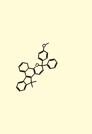 COc1ccc(C2(c3ccccc3)C=CC3=C(O2)C2CC=CC=C2C2=C3C(C)(C)c3ccccc32)cc1